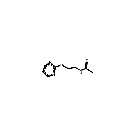 CC(=O)NCCOc1ncccn1